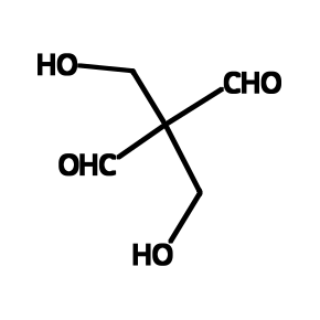 O=CC(C=O)(CO)CO